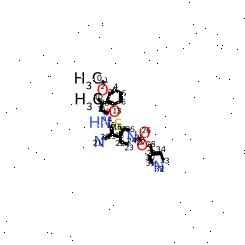 CCOc1ccccc1C(C)CC(=O)Nc1sc2c(c1C#N)CCN(C(=O)OCc1ccncc1)C2